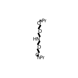 CCCOCCOCCNCCOCCOCCC